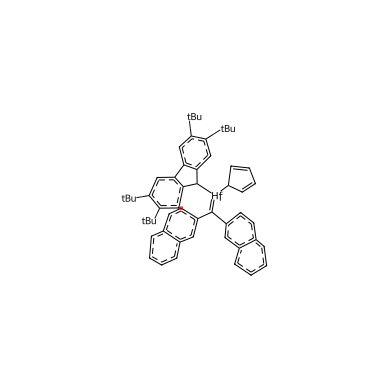 CC(C)(C)c1cc2c(cc1C(C)(C)C)[CH]([Hf](=[C](c1ccc3ccccc3c1)c1ccc3ccccc3c1)[CH]1C=CC=C1)c1cc(C(C)(C)C)c(C(C)(C)C)cc1-2